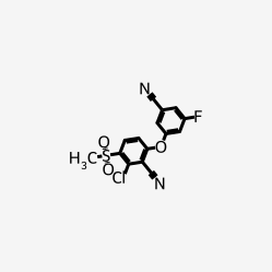 CS(=O)(=O)c1ccc(Oc2cc(F)cc(C#N)c2)c(C#N)c1Cl